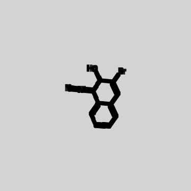 [N-]=[N+]=C1c2ccccc2C=C(Br)C1O